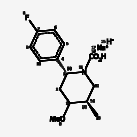 COC1C[C@H](c2ccc(F)cc2)N(C(=O)O)C[C@H]1C.[H-].[Na+]